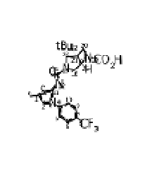 Cc1cn(-c2ccc(C(F)(F)F)cc2)c(=NC(=O)N2C[C@@H]3N(C(=O)O)C[C@]3(C(C)(C)C)C2)s1